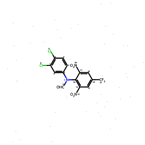 O=CN(c1ccc(Cl)c(Cl)c1)c1c([N+](=O)[O-])cc(C(F)(F)F)cc1[N+](=O)[O-]